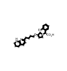 CCc1ccccc1[C@@H](C(=O)O)N1CC[C@@H](OCCCCc2ccc3c(n2)NCCC3)C1